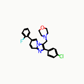 Fc1ccccc1-c1ccc2nc(-c3ccc(Cl)cc3)c(CN3CCOCC3)n2c1